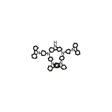 c1ccc2c(c1)c1ccccc1n2-c1ccc(N(c2ccc(-n3c4ccccc4c4ccccc43)cc2)c2ccc3[nH]c4ccc(N(c5ccc(-n6c7ccccc7c7ccccc76)cc5)c5ccc(-n6c7ccccc7c7ccccc76)cc5)cc4c3c2)cc1